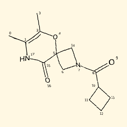 CC1=C(C)OC2(CN(C(=O)C3CCC3)C2)C(=O)N1